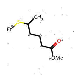 CCSC(C)CCCC(=O)OC